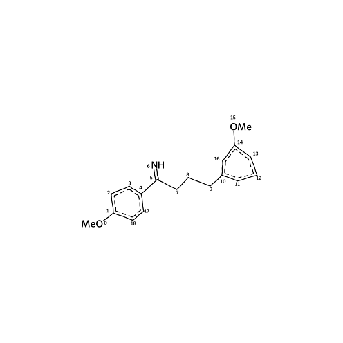 COc1ccc(C(=N)CCCc2cccc(OC)c2)cc1